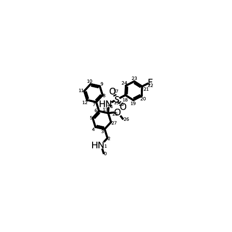 CNCC1=CC=C(c2ccccc2)C(NS(=O)(=O)c2ccc(F)cc2)(OC)C1